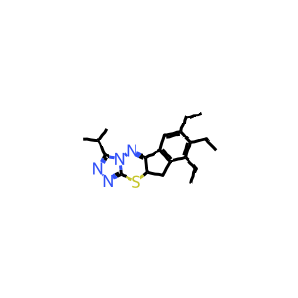 CCc1cc2c(c(CC)c1CC)CC1Sc3nnc(C(C)C)n3N=C21